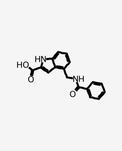 O=C(NCc1cccc2[nH]c(C(=O)O)cc12)c1ccccc1